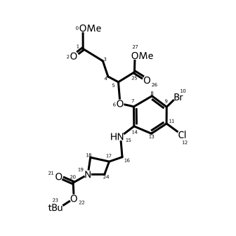 COC(=O)CCC(Oc1cc(Br)c(Cl)cc1NCC1CN(C(=O)OC(C)(C)C)C1)C(=O)OC